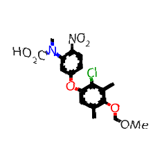 COCOc1c(C)cc(Oc2ccc([N+](=O)[O-])c(N(C)C(=O)O)c2)c(Cl)c1C